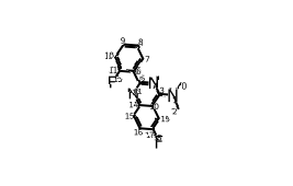 CN(C)c1nc(-c2ccccc2F)nc2ccc(F)cc12